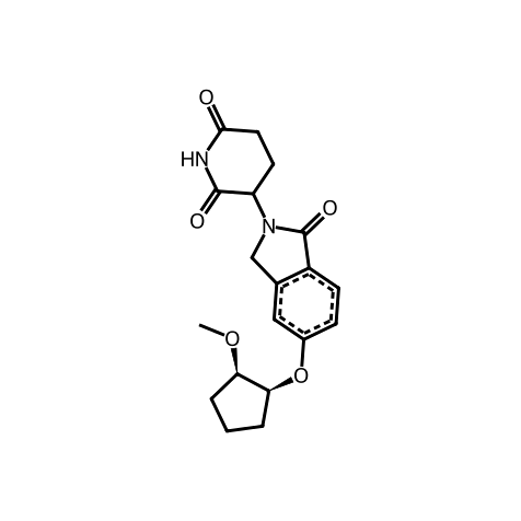 CO[C@@H]1CCC[C@@H]1Oc1ccc2c(c1)CN(C1CCC(=O)NC1=O)C2=O